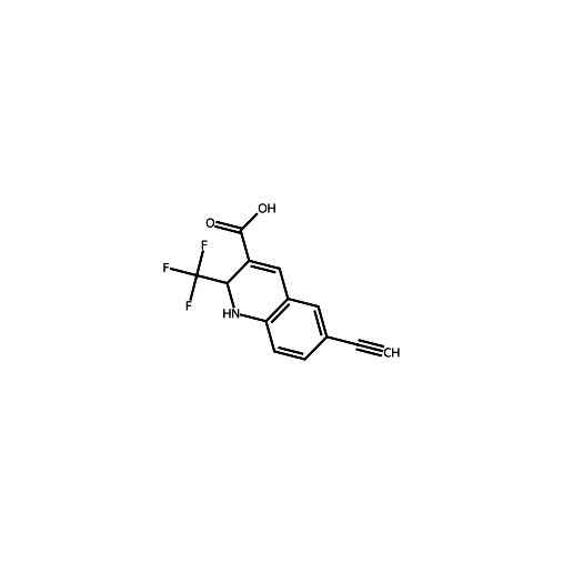 C#Cc1ccc2c(c1)C=C(C(=O)O)C(C(F)(F)F)N2